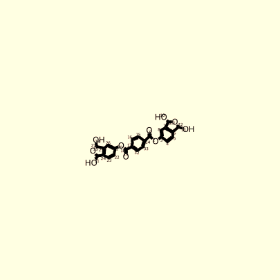 O=C(Oc1ccc2c(c1)C(O)OC2O)c1ccc(C(=O)Oc2ccc3c(c2)C(O)OC3O)cc1